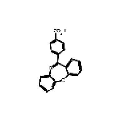 O=C(O)c1ccc(C2=Nc3ccccc3Oc3ccccc32)cc1